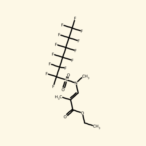 CCOC(=O)C(C)=CN(C)S(=O)(=O)C(F)(F)C(F)(F)C(F)(F)C(F)(F)C(F)(F)C(F)(F)F